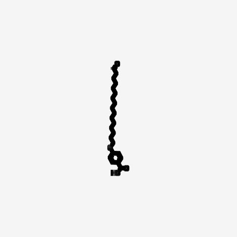 O=[C]CCCCCCCCCCCCCCCOc1ccc(C(=O)O)cc1